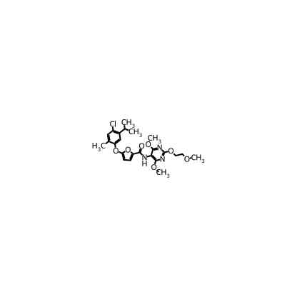 COCCOc1nc(OC)c(NC(=O)c2ccc(Oc3cc(C(C)C)c(Cl)cc3C)o2)c(OC)n1